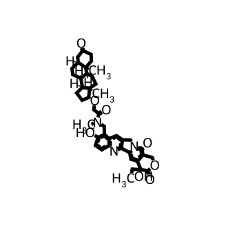 CC[C@@]1(O)C(=O)OCc2c1cc1n(c2=O)Cc2cc3c(CN(C)C(=O)CO[C@H]4CC[C@H]5[C@@H]6CC[C@H]7CC(=O)CC[C@]7(C)[C@H]6CC[C@]45C)c(O)ccc3nc2-1